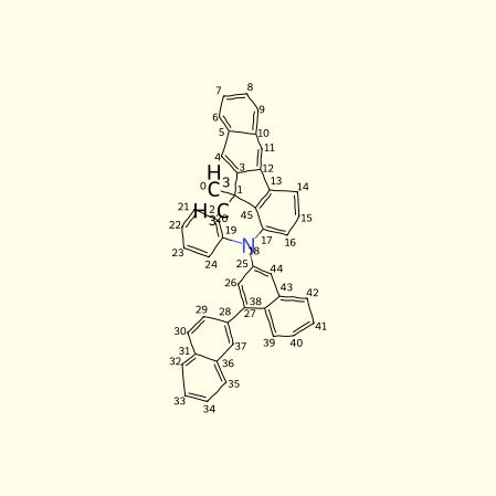 CC1(C)c2cc3ccccc3cc2-c2cccc(N(c3ccccc3)c3cc(-c4ccc5ccccc5c4)c4ccccc4c3)c21